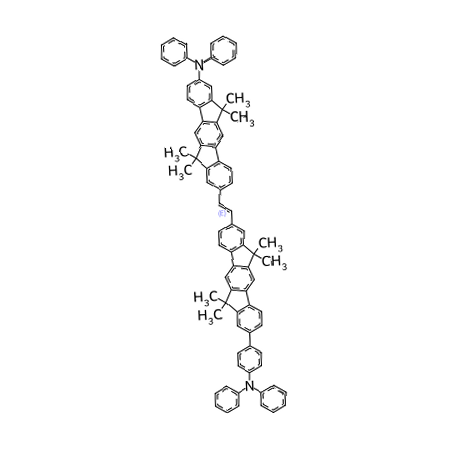 CC1(C)c2cc(/C=C/c3ccc4c(c3)C(C)(C)c3cc5c(cc3-4)C(C)(C)c3cc(N(c4ccccc4)c4ccccc4)ccc3-5)ccc2-c2cc3c(cc21)-c1ccc(-c2ccc(N(c4ccccc4)c4ccccc4)cc2)cc1C3(C)C